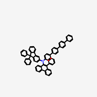 c1ccc(-c2ccc(-c3ccc(-c4ccc(N(c5ccc6c(c5)-c5ccccc5C6(c5ccccc5)c5ccccc5)c5c(-c6ccccc6)c6ccccc6c6ccccc56)cc4)cc3)cc2)cc1